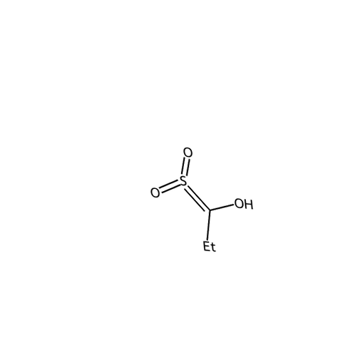 CCC(O)=S(=O)=O